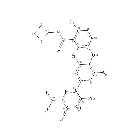 O=C(NC1CCC1)c1cc(Oc2c(Cl)cc(-n3nc(C(F)F)c(=O)[nH]c3=O)cc2Cl)ncc1O